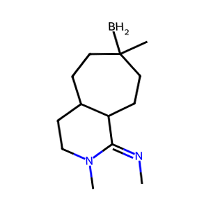 BC1(C)CCC2CCN(C)/C(=N\C)C2CC1